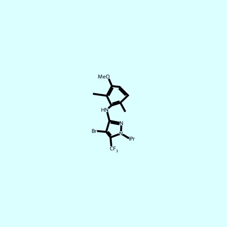 COc1ccc(C)c(Nc2nn(C(C)C)c(C(F)(F)F)c2Br)c1C